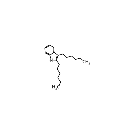 CCCCCCC1=C(CCCCCC)c2ccccc2[N]1